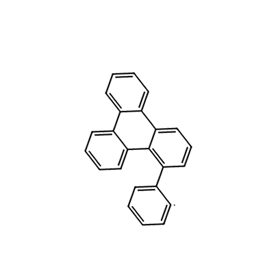 [c]1ccccc1-c1cccc2c3ccccc3c3ccccc3c12